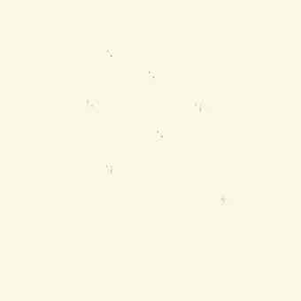 CCC(CO)Nc1nc(NCc2cc(I)ccc2O)c2ncn(C)c2n1